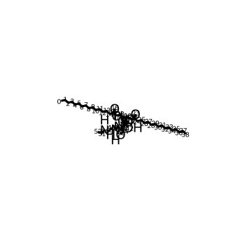 CCCCCCCCCCCCCCCC(=O)OCC(COC(=O)CCCCCCCCCCCCCCC)OP(=O)(O)C(CO)NNCCNCC